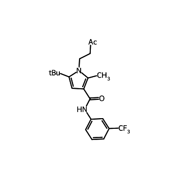 CC(=O)CCn1c(C(C)(C)C)cc(C(=O)Nc2cccc(C(F)(F)F)c2)c1C